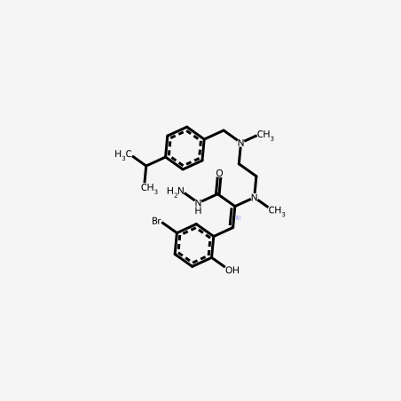 CC(C)c1ccc(CN(C)CCN(C)/C(=C/c2cc(Br)ccc2O)C(=O)NN)cc1